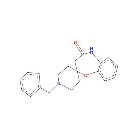 O=C1CC2(CCN(Cc3ccccc3)CC2)Oc2ccccc2N1